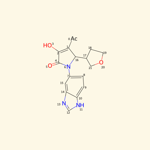 CC(=O)C1=C(O)C(=O)N(c2ccc3[nH]cnc3c2)C1C1CCOC1